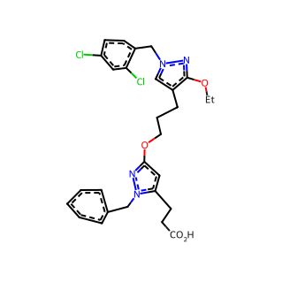 CCOc1nn(Cc2ccc(Cl)cc2Cl)cc1CCCOc1cc(CCC(=O)O)n(Cc2ccccc2)n1